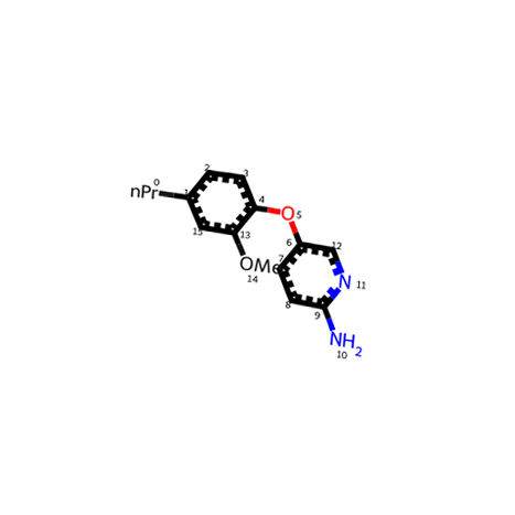 CCCc1ccc(Oc2ccc(N)nc2)c(OC)c1